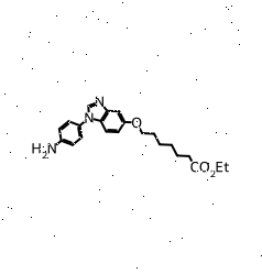 CCOC(=O)CCCCCCOc1ccc2c(c1)ncn2-c1ccc(N)cc1